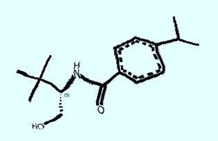 CC(C)c1ccc(C(=O)N[C@H](CO)C(C)(C)C)cc1